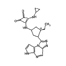 CC[C@@H]1CC(Nc2c(NC3CC3)c(=O)c2=O)CC1c1nnc2cnc3[nH]ccc3n12